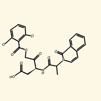 CC(C(=O)N[C@@H](CC(=O)O)C(=O)COC(=O)c1c(Cl)cccc1Cl)n1ccc2ccccc2c1=O